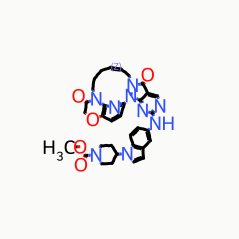 COC(=O)N1CCC(n2ccc3cc(Nc4ncc5c(=O)n6n(c5n4)-c4ccc5c(n4)N(CCC/C=C\C6)C(=O)CO5)ccc32)CC1